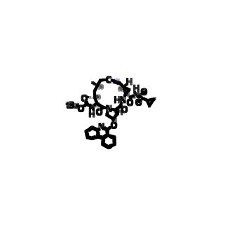 C[C@H]1CC/C=C\[C@@H]2C[C@@]2(C(=O)NS(=O)(=O)C2CC2)NC(=O)[C@@H]2C[C@@H](Oc3nc4ccccc4c4ccccc34)CN2C(=O)[C@@H](NC(=O)OC(C)(C)C)[C@H](C)C1